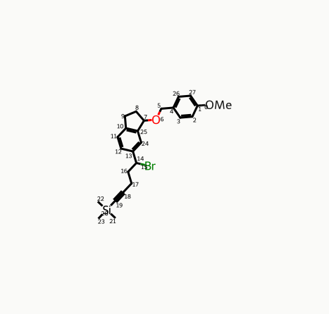 COc1ccc(COC2CCc3ccc(C(Br)CCC#C[Si](C)(C)C)cc32)cc1